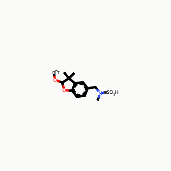 CCCOC1Oc2ccc(CN(C)S(=O)(=O)O)cc2C1(C)C